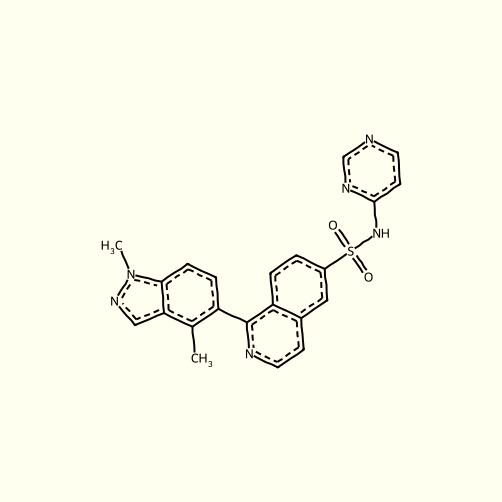 Cc1c(-c2nccc3cc(S(=O)(=O)Nc4ccncn4)ccc23)ccc2c1cnn2C